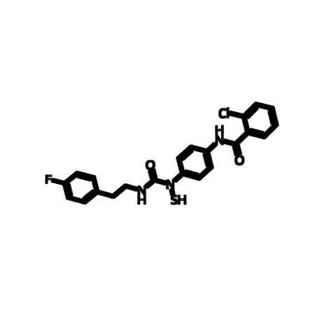 O=C(Nc1ccc(N(S)C(=O)NCCc2ccc(F)cc2)cc1)c1ccccc1Cl